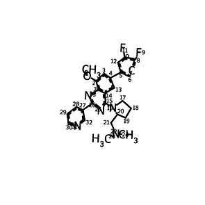 COc1cc(-c2ccc(F)c(F)c2)cc2c(N3CCCC3CN(C)C)nc(-c3cccnc3)nc12